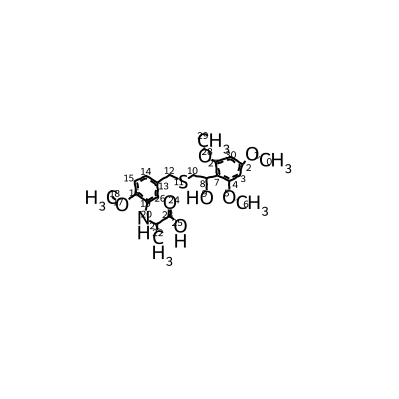 COc1cc(OC)c(C(O)CSCc2ccc(OC)c(NC(C)C(=O)O)c2)c(OC)c1